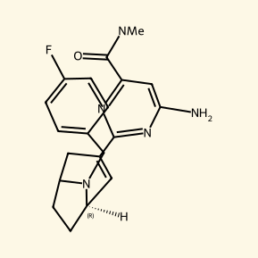 CNC(=O)c1cc(N)nc(C2=C[C@H]3CCC(C2)N3Cc2ccc(F)cc2)n1